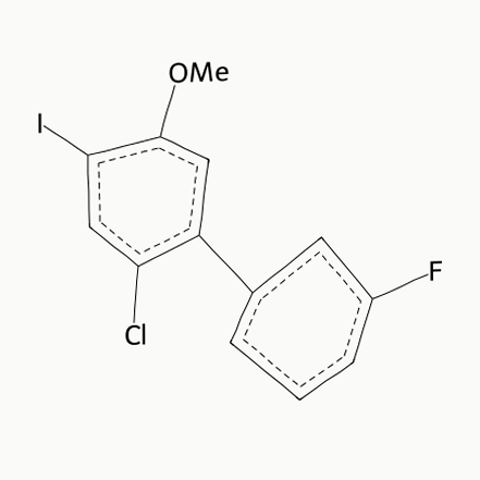 COc1cc(-c2cccc(F)c2)c(Cl)cc1I